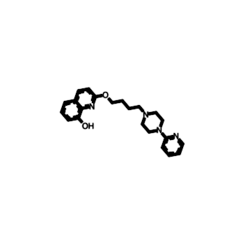 Oc1cccc2ccc(OCCCCN3CCN(c4ccccn4)CC3)nc12